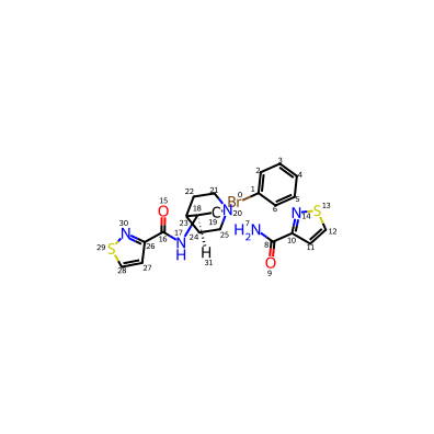 Brc1ccccc1.NC(=O)c1ccsn1.O=C(N[C@@H]1CN2CCC1CC2)c1ccsn1